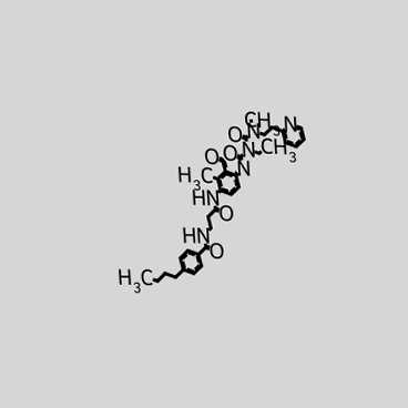 CCCCc1ccc(C(=O)NCCC(=O)Nc2ccc3nc(N(CC)C(=O)N(C)CCc4ccccn4)oc(=O)c3c2C)cc1